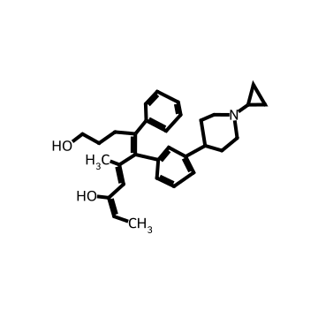 C\C=C(O)/C=C(C)/C(=C(\CCCO)c1ccccc1)c1cccc(C2CCN(C3CC3)CC2)c1